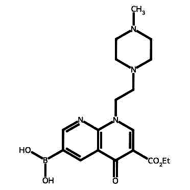 CCOC(=O)c1cn(CCN2CCN(C)CC2)c2ncc(B(O)O)cc2c1=O